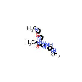 C=CCn1c(=O)c2cnc(Nc3ccc4c(cnn4C)c3)nc2n1-c1cccc(O[C@@H]2CCCN(C)C2)n1